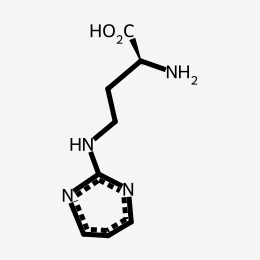 N[C@@H](CCNc1ncccn1)C(=O)O